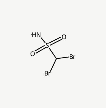 [NH]S(=O)(=O)C(Br)Br